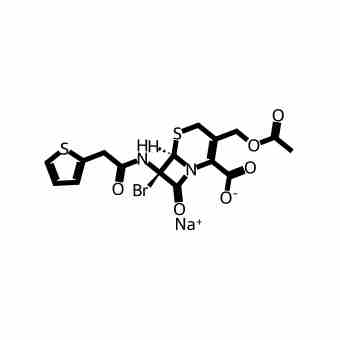 CC(=O)OCC1=C(C(=O)[O-])N2C(=O)[C@](Br)(NC(=O)Cc3cccs3)[C@H]2SC1.[Na+]